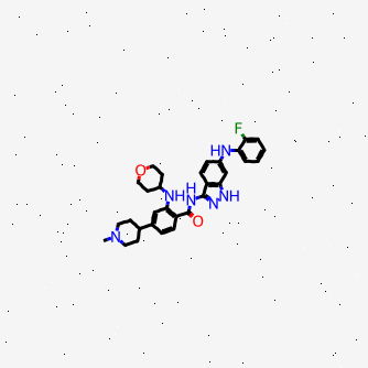 CN1CCC(c2ccc(C(=O)Nc3n[nH]c4cc(Nc5ccccc5F)ccc34)c(NC3CCOCC3)c2)CC1